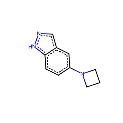 c1cc2[nH]ncc2cc1N1CCC1